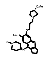 COc1cc2c(NC3CCN(C(C)C)CC3)c3c(nc2cc1OCCCN1CC[C@@H](OC)C1)CCC3